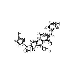 Cn1c2nc(C(O)c3cc[nH]n3)sc2c2cnn(Cc3cc[nH]n3)c(=O)c21